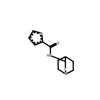 O=C(NC1CN2CCC1CC2)c1cccs1